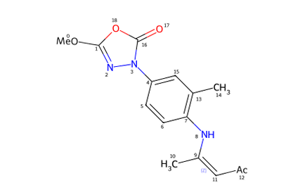 COc1nn(-c2ccc(N/C(C)=C\C(C)=O)c(C)c2)c(=O)o1